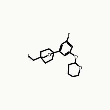 Fc1cc(OC2CCCCO2)cc(C23CCC(CI)(CC2)CO3)c1